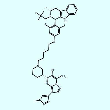 C[C@@H]1Cc2c([nH]c3ccccc23)[C@@H](c2c(F)cc(OCCCCCN3CCC[C@@H](c4nc5c(-c6cnn(C)c6)cnn5c(N)c4Br)C3)cc2F)N1CC(C)(C)F